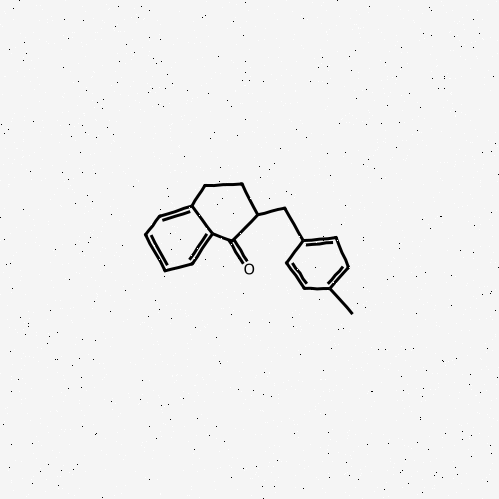 Cc1ccc(CC2CCc3ccccc3C2=O)cc1